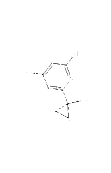 Cc1cc(C(C)(C)C)nc(C2(C)CC2)c1